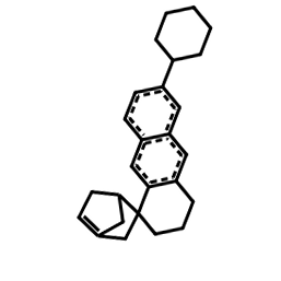 C1=C2CC(C1)C1(CCCc3cc4cc(C5CCCCC5)ccc4cc31)C2